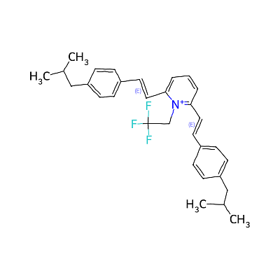 CC(C)Cc1ccc(/C=C/c2cccc(/C=C/c3ccc(CC(C)C)cc3)[n+]2CC(F)(F)F)cc1